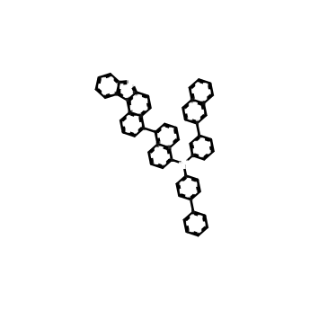 c1ccc(-c2ccc(N(c3cccc(-c4ccc5ccccc5c4)c3)c3cccc4c(-c5cccc6c5ccc5oc7ccccc7c56)cccc34)cc2)cc1